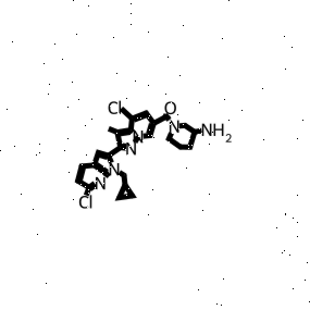 Cc1c(-c2cc3ccc(Cl)nc3n2CC2CC2)nn2cc(C(=O)N3CCCC(N)C3)cc(Cl)c12